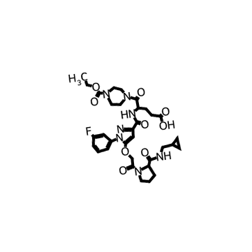 CCOC(=O)N1CCN(C(=O)C(CCC(=O)O)NC(=O)c2cc(OCC(=O)N3CCCC3C(=O)NCC3CC3)n(-c3cccc(F)c3)n2)CC1